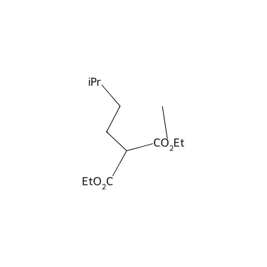 CC.CCOC(=O)C(CCC(C)C)C(=O)OCC